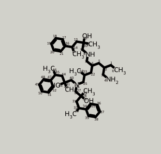 CCC(CN)CC(CNCC(C)(O)CC(C)c1ccccc1)CC(C)CN(CC(C)(O)CC(C)c1ccccc1)CC(C)(O)CC(C)c1ccccc1